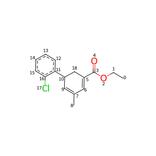 CCOC(=O)C1=CC(C)=CC(c2ccccc2Cl)C1